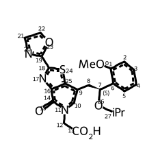 COc1ccccc1[C@H](Cc1cn(CC(=O)O)c(=O)c2nc(-c3ncco3)sc12)OC(C)C